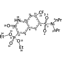 CCCN(CCC)S(=O)(=O)c1cc2cc(P(=O)(OCC)OCC)c(=O)[nH]c2cc1C(F)(F)F